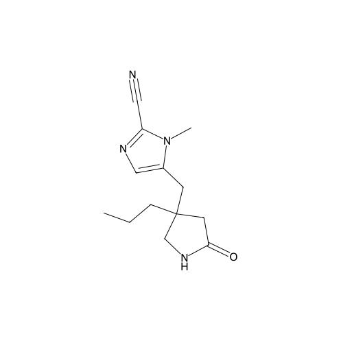 CCCC1(Cc2cnc(C#N)n2C)CNC(=O)C1